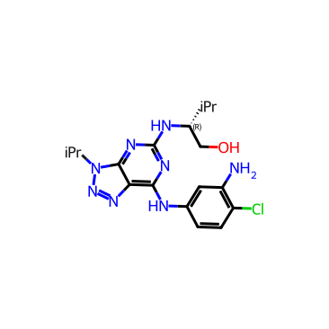 CC(C)[C@H](CO)Nc1nc(Nc2ccc(Cl)c(N)c2)c2nnn(C(C)C)c2n1